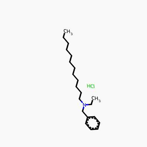 CCCCCCCCCCCCN(CC)Cc1ccccc1.Cl